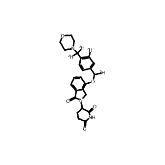 [2H]c1cc(C([2H])Oc2cccc3c2CN(C2CCC(=O)NC2=O)C3=O)ccc1C([2H])([2H])N1CCOCC1